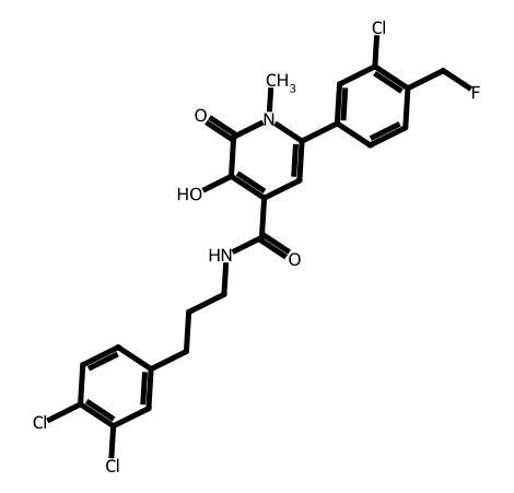 Cn1c(-c2ccc(CF)c(Cl)c2)cc(C(=O)NCCCc2ccc(Cl)c(Cl)c2)c(O)c1=O